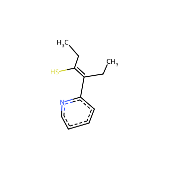 CC/C(S)=C(\CC)c1ccccn1